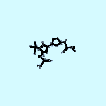 CNC(=O)O[C@@H]1CC[C@H](c2cc(NC(=O)O)n(C(C)(C)C)n2)C1